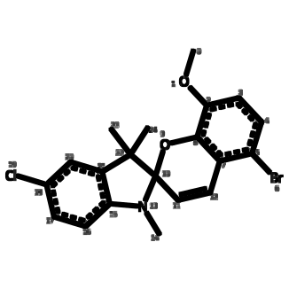 COc1ccc(Br)c2c1OC1(C=C2)N(C)c2ccc(Cl)cc2C1(C)C